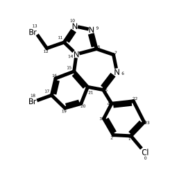 Clc1ccc(C2=NCc3nnc(CBr)n3-c3cc(Br)ccc32)cc1